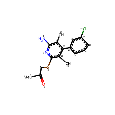 COC(=O)CSc1nc(N)c(C#N)c(-c2cccc(Cl)c2)c1C#N